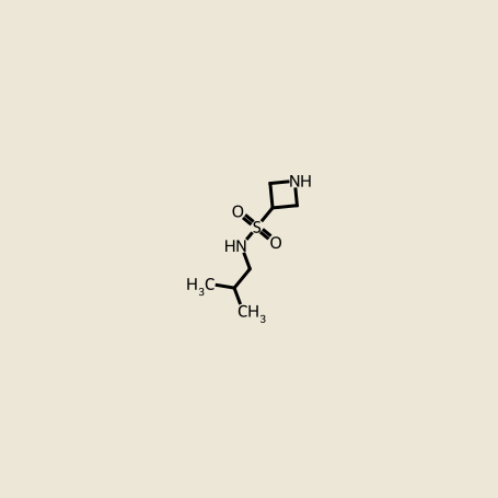 CC(C)CNS(=O)(=O)C1CNC1